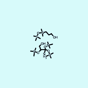 C[Si](C)(C)OC(CO)C([SiH3])(O[Si](C)(C)C)O[Si](C)(C)C.C[Si](C)(C)O[Si](C)(C)CCCO